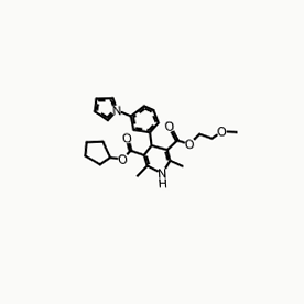 COCCOC(=O)C1=C(C)NC(C)=C(C(=O)OC2CCCC2)C1c1cccc(-n2cccc2)c1